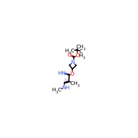 CN/C=C(\C)C(=N)OC1CN(C(=O)OC(C)(C)C)C1